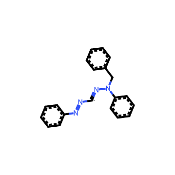 [C](=NN(Cc1ccccc1)c1ccccc1)N=Nc1ccccc1